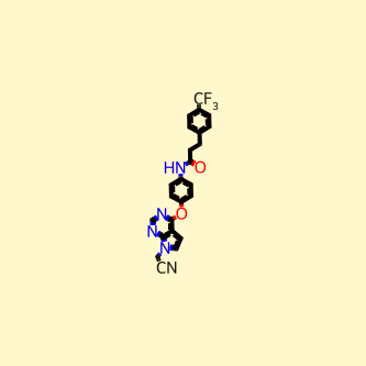 N#CCn1ccc2c(Oc3ccc(NC(=O)CCc4ccc(C(F)(F)F)cc4)cc3)ncnc21